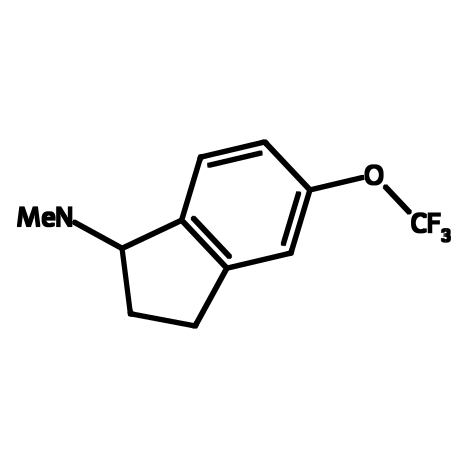 CNC1CCc2cc(OC(F)(F)F)ccc21